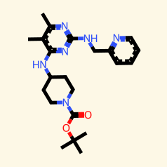 Cc1nc(NCc2ccccn2)nc(NC2CCN(C(=O)OC(C)(C)C)CC2)c1C